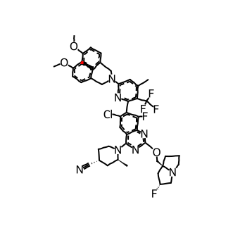 COc1ccc(CN(Cc2ccc(OC)cc2)c2cc(C)c(C(F)(F)F)c(-c3c(Cl)cc4c(N5CC[C@@H](C#N)C[C@@H]5C)nc(OC[C@@]56CCCN5C[C@H](F)C6)nc4c3F)n2)cc1